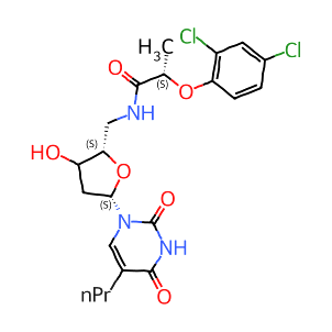 CCCc1cn([C@@H]2CC(O)[C@H](CNC(=O)[C@H](C)Oc3ccc(Cl)cc3Cl)O2)c(=O)[nH]c1=O